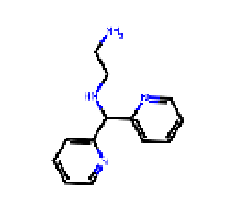 NCCNC(c1ccccn1)c1ccccn1